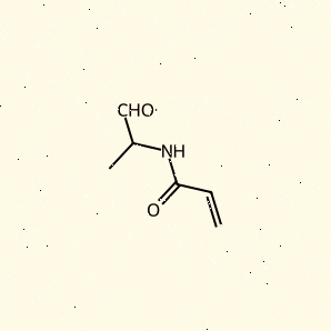 C=CC(=O)NC(C)[C]=O